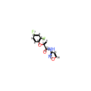 C=C(Oc1ccc(F)cc1F)C(=O)Nc1ccon1